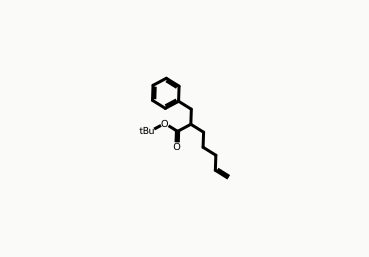 C=CCCCC(Cc1ccccc1)C(=O)OC(C)(C)C